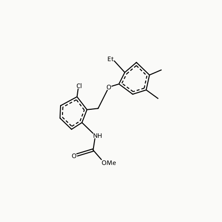 CCc1cc(C)c(C)cc1OCc1c(Cl)cccc1NC(=O)OC